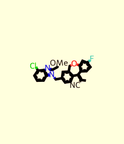 COCc1nc2c(Cl)cccc2n1Cc1ccc2c(c1)COc1cc(F)ccc1/C2=C(\C)C#N